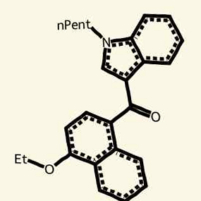 CCCCCn1cc(C(=O)c2ccc(OCC)c3ccccc23)c2ccccc21